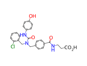 O=C(O)CCNC(=O)c1ccc(CN(Cc2ccccc2Cl)C(=O)Nc2ccc(O)cc2)cc1